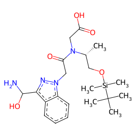 C[C@H](CO[Si](C)(C)C(C)(C)C)N(CC(=O)O)C(=O)Cn1nc(C(N)O)c2ccccc21